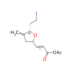 C=C1CC(/C=C/C(=O)OC(C)=O)O[C@H]1CCI